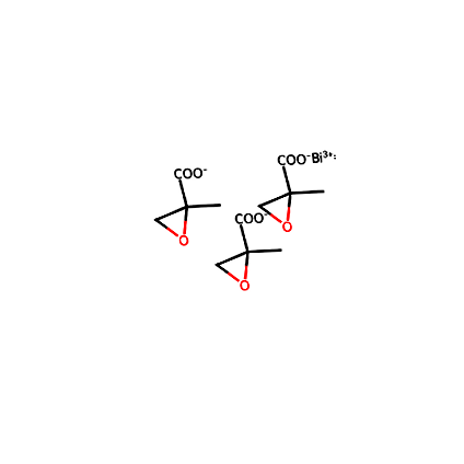 CC1(C(=O)[O-])CO1.CC1(C(=O)[O-])CO1.CC1(C(=O)[O-])CO1.[Bi+3]